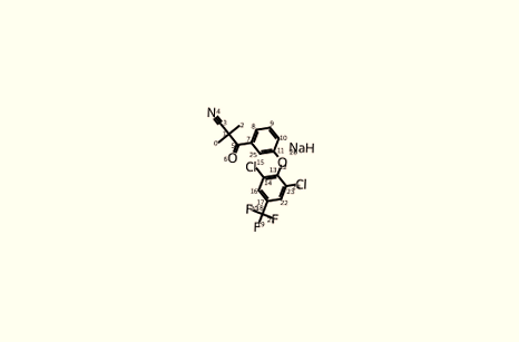 CC(C)(C#N)C(=O)c1cccc(Oc2c(Cl)cc(C(F)(F)F)cc2Cl)c1.[NaH]